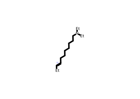 CC/C=C/CCCCCCCN(CC)CC